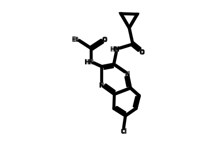 CCC(=O)Nc1nc2cc(Cl)ccc2nc1NC(=O)C1CC1